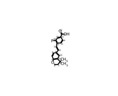 CC1(C)CCOc2ccc(/C=C/c3ccc(C(=O)O)cc3F)cc21